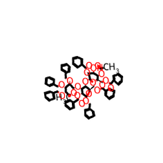 CC(=O)O[C@@H]1[C@H](O)[C@@H](OC(=O)c2ccccc2)[C@H](O[C@H]2[C@H](O[C@@H]3O[C@@H](C)[C@@H](OCc4ccccc4)[C@@H](OCc4ccccc4)[C@@H]3OCc3ccccc3)[C@@H](OC(=O)c3ccccc3)[C@H](OCc3ccccc3)O[C@@H]2COC(=O)c2ccccc2)O[C@@H]1COC(=O)c1ccccc1